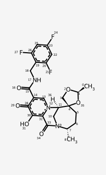 C[C@@H]1OC[C@]2(CC[C@H](C)N3C[C@H]2n2cc(C(=O)NCc4c(F)cc(F)cc4F)c(=O)c(O)c2C3=O)O1